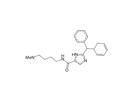 CNCCCCNC(=O)c1cnc(C(c2ccccc2)C2C=CC=CC2)[nH]1